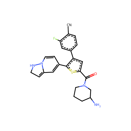 N#Cc1ccc(-c2cc(C(=O)N3CCCC(N)C3)sc2C2=CC3=CCNN3C=C2)cc1F